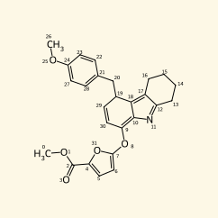 COC(=O)c1ccc(OC2=C3N=C4CCCCC4=C3C(Cc3ccc(OC)cc3)C=C2)o1